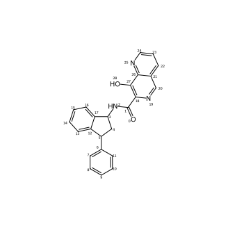 O=C(NC1CC(c2ccccc2)c2ccccc21)c1ncc2cccnc2c1O